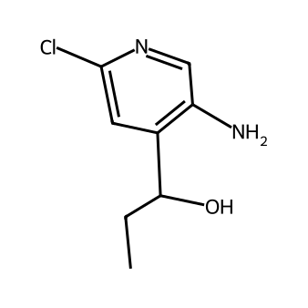 CCC(O)c1cc(Cl)ncc1N